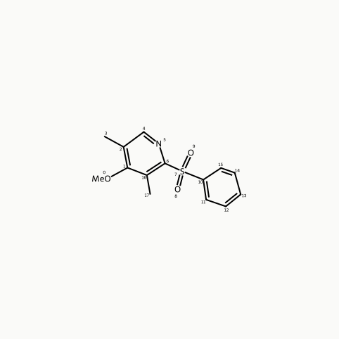 COc1c(C)cnc(S(=O)(=O)c2ccccc2)c1C